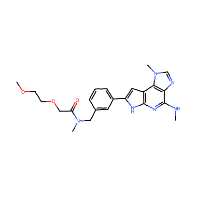 CNc1nc2[nH]c(-c3cccc(CN(C)C(=O)COCCOC)c3)cc2c2c1ncn2C